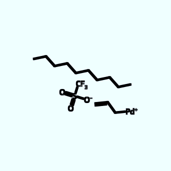 C=C[CH2][Pd+].CCCCCCCCCC.O=S(=O)([O-])C(F)(F)F